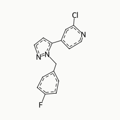 Fc1ccc(Cn2nccc2-c2ccnc(Cl)c2)cc1